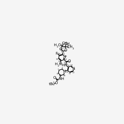 CC(C)(C)OC(=O)N[C@H]1CCCN(c2ccncc2NC(=O)c2nc(N3OC(C)(C)C(C)(C)O3)c(F)cc2N)C1